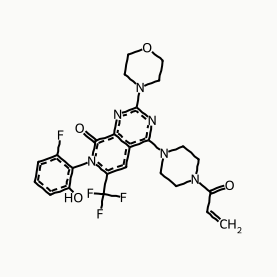 C=CC(=O)N1CCN(c2nc(N3CCOCC3)nc3c(=O)n(-c4c(O)cccc4F)c(C(F)(F)F)cc23)CC1